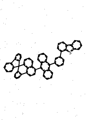 c1cc(-c2c3ccccc3c(-c3ccc4c5c(cccc35)C3(c5ccccc5-c5ccccc53)c3ccccc3-4)c3ccccc23)cc(-c2cccc3c2sc2ccccc23)c1